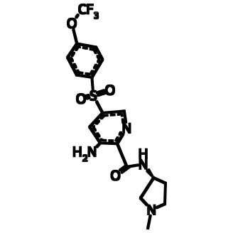 CN1CC[C@H](NC(=O)c2ncc(S(=O)(=O)c3ccc(OC(F)(F)F)cc3)cc2N)C1